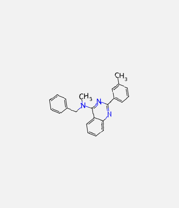 Cc1cccc(-c2nc(N(C)Cc3ccccc3)c3ccccc3n2)c1